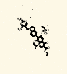 CCOC(=O)c1cn2c3c(c(-c4ccc5c(c4)CCN5Cc4cnc(N)nc4N)c(F)cc3c1=O)OC[C@@H]2C.CCS(=O)(=O)O